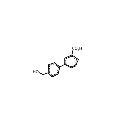 O=C(O)c1cccc(-c2ccc(CO)cc2)c1